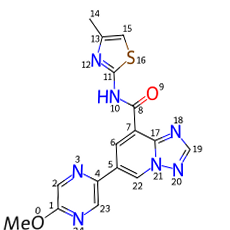 COc1cnc(-c2cc(C(=O)Nc3nc(C)cs3)c3ncnn3c2)cn1